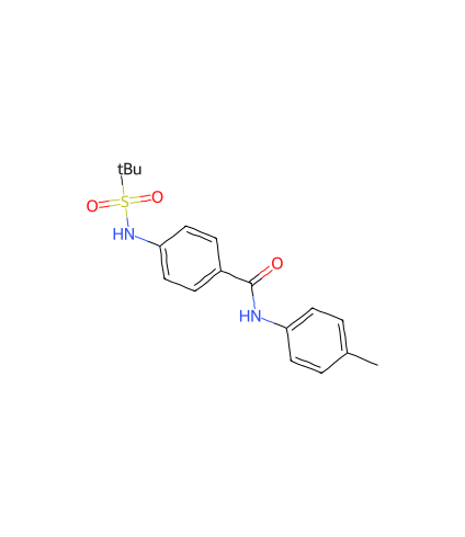 Cc1ccc(NC(=O)c2ccc(NS(=O)(=O)C(C)(C)C)cc2)cc1